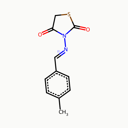 Cc1ccc(/C=N/N2C(=O)CSC2=O)cc1